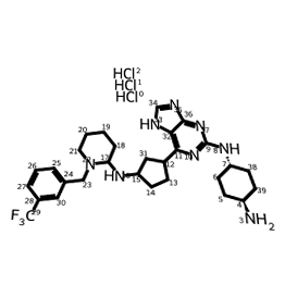 Cl.Cl.Cl.N[C@H]1CC[C@H](Nc2nc(C3CCC(NC4CCCCN4Cc4cccc(C(F)(F)F)c4)C3)c3[nH]cnc3n2)CC1